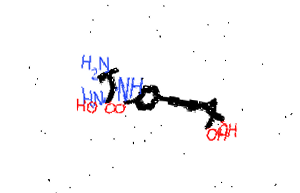 CC(C)(N)[C@H](NC(=O)c1ccc(C#CC#CC2CC2(CO)CO)cc1)C(=O)NO